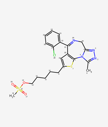 Cc1nnc2n1-c1sc(CCCCCOS(C)(=O)=O)cc1C(c1ccccc1Cl)=NC2